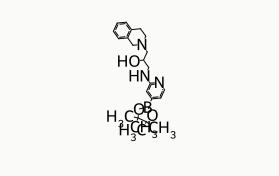 CC1(C)OB(c2ccnc(NCC(O)CN3CCc4ccccc4C3)c2)OC1(C)C